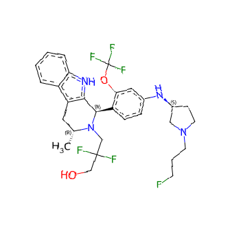 C[C@@H]1Cc2c([nH]c3ccccc23)[C@@H](c2ccc(N[C@H]3CCN(CCCF)C3)cc2OC(F)(F)F)N1CC(F)(F)CO